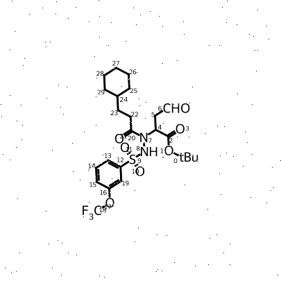 CC(C)(C)OC(=O)C(CC=O)N(NS(=O)(=O)c1cccc(OC(F)(F)F)c1)C(=O)CCC1CCCCC1